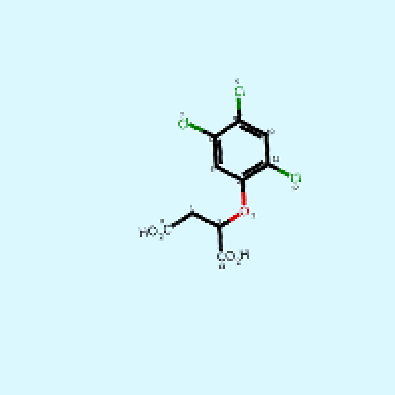 O=C(O)CC(Oc1cc(Cl)c(Cl)cc1Cl)C(=O)O